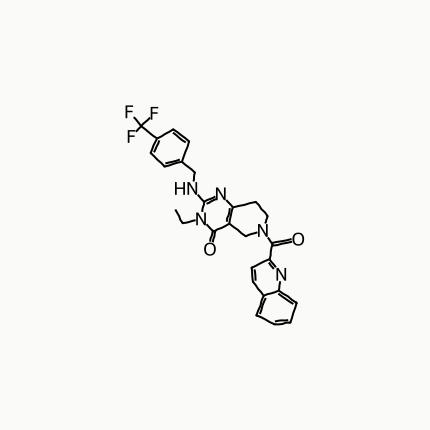 CCn1c(NCc2ccc(C(F)(F)F)cc2)nc2c(c1=O)CN(C(=O)c1ccc3ccccc3n1)CC2